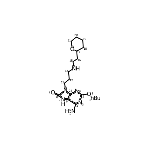 CCCCOc1nc(N)c2[nH]c(=O)n(CCCNCCC3CCCCO3)c2n1